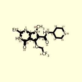 CCc1nc2c(c(OCC(F)(F)F)c(C(=O)NC3CCSCC3)n2C)c(=O)[nH]1